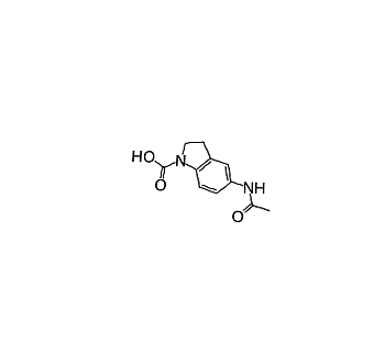 CC(=O)Nc1ccc2c(c1)CCN2C(=O)O